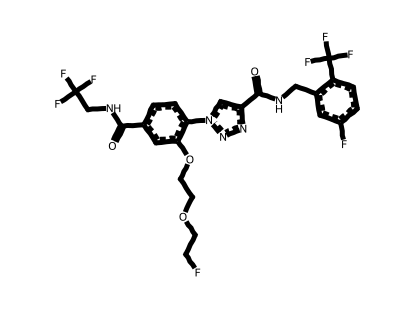 O=C(NCC(F)(F)F)c1ccc(-n2cc(C(=O)NCc3cc(F)ccc3C(F)(F)F)nn2)c(OCCOCCF)c1